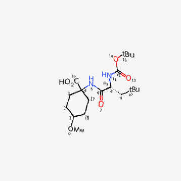 COC1CCC(NC(=O)[C@@H](CC(C)(C)C)NC(=O)OC(C)(C)C)(C(=O)O)CC1